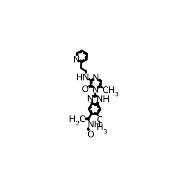 C=C(NC=O)c1cc2nc(-n3c(C)cnc(NCCc4ccccn4)c3=O)[nH]c2cc1C